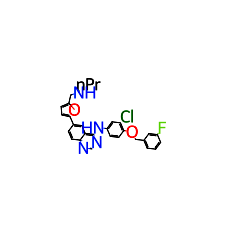 CCCNCc1ccc(-c2ccc3ncnc(Nc4ccc(OCc5cccc(F)c5)c(Cl)c4)c3c2)o1